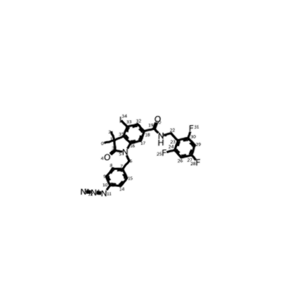 CC1(C)C(=O)N(Cc2ccc(N=[N+]=[N-])cc2)c2cc(C(=O)NCc3c(F)cc(F)cc3F)cc(I)c21